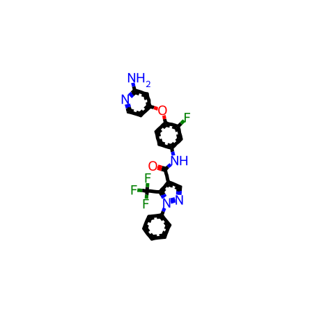 Nc1cc(Oc2ccc(NC(=O)c3cnn(-c4ccccc4)c3C(F)(F)F)cc2F)ccn1